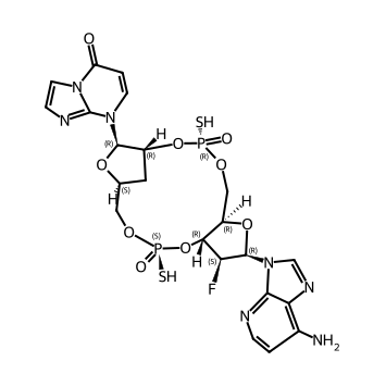 Nc1ccnc2c1ncn2[C@@H]1O[C@@H]2CO[P@@](=O)(S)O[C@@H]3C[C@@H](CO[P@](=O)(S)O[C@H]2[C@@H]1F)O[C@H]3n1ccc(=O)n2ccnc12